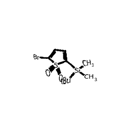 CC(C)(C)[Si](C)(C)C1=CC=C(Br)S1(=O)=O